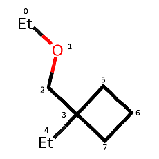 CCOCC1(CC)CCC1